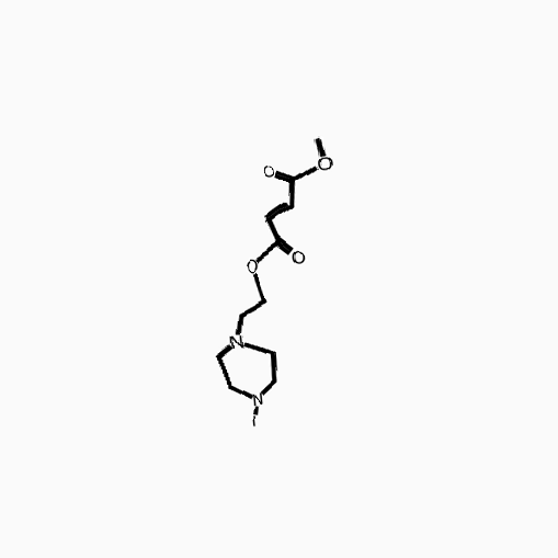 COC(=O)/C=C/C(=O)OCCN1CCN(I)CC1